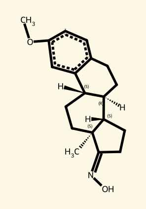 COc1[c]cc2c(c1)[C@H]1CC[C@]3(C)C(=NO)CC[C@H]3[C@@H]1CC2